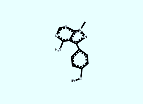 CC(C)Oc1ccc(-c2nn(C)c3ncnc(N)c23)cc1